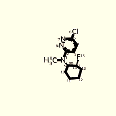 CN(c1ccc(Cl)nn1)[C@@H]1CCCC[C@@H]1F